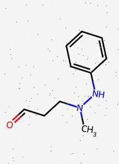 CN(CCC=O)Nc1ccccc1